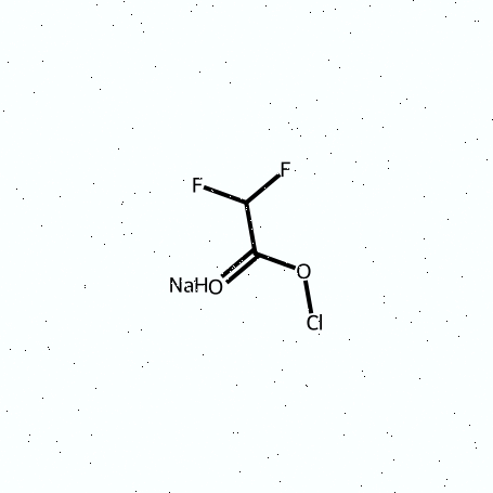 O=C(OCl)C(F)F.[NaH]